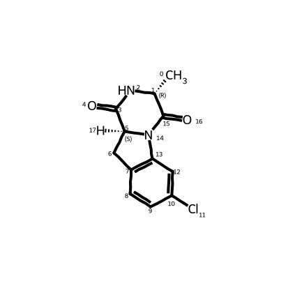 C[C@H]1NC(=O)[C@@H]2Cc3ccc(Cl)cc3N2C1=O